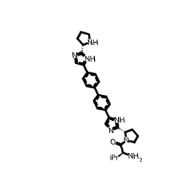 CC(C)[C@H](N)C(=O)N1CCC[C@H]1c1ncc(-c2ccc(-c3ccc(-c4cnc([C@@H]5CCCN5)[nH]4)cc3)cc2)[nH]1